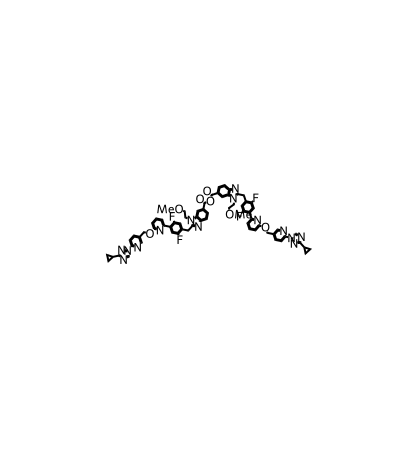 COCCn1c(Cc2cc(F)c(-c3cccc(OCc4ccc(-n5cnc(C6CC6)n5)nc4)n3)cc2F)nc2ccc(C(=O)OC(=O)c3ccc4nc(Cc5cc(F)c(-c6cccc(OCc7ccc(-n8cnc(C9CC9)n8)nc7)n6)cc5F)n(CCOC)c4c3)cc21